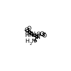 CC[C@@](C)(N)c1cnc(O[C@H](C)C[C@@H](C)S(=O)(=O)CC)c2cnc(Nc3ccc4c(n3)[C@@H](C)[C@H](C)OC4=O)cc12